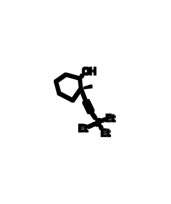 CCS(C#C[C@@]1(C)CCCC[C@H]1O)(CC)CC